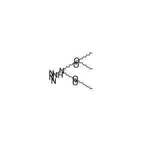 CCCCCCCCCC(=O)OCCCCCCCN(CCCCCCCC(=O)OC(CCCCCCCC)CCCCCCCC)CCCN/C(=N\C#N)N(C)C